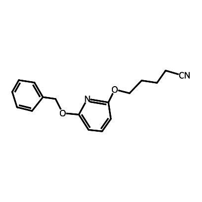 N#CCCCCOc1cccc(OCc2ccccc2)n1